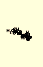 C=C(C)C(=O)OCCOC(=O)CCC(=O)OCC1(C)Nc2cccc3cccc(c23)N1